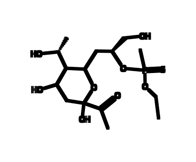 CCOP(C)(=S)O[C@H](CO)CC1OC(O)(C(C)=O)CC(O)C1[C@@H](C)O